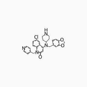 O=c1cc(N(Cc2ccc3c(c2)OCO3)C2CCNCC2)c2cc(Cl)ccc2n1Cc1ccncc1